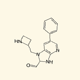 O=CC1Nc2ncc(-c3ccccc3)cc2N1CC1CCN1